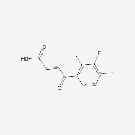 Cc1ccc(C(=O)/C=C/C(=O)O)c(C)c1F